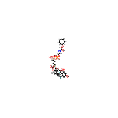 CCC(=O)O[C@]1(C(=O)SCCCCP(=O)(O)OP(=O)(O)OCCNC(=O)COC2/C=C\CCCCC2)[C@H](C)C[C@H]2[C@@H]3C[C@H](F)C4=CC(=O)C=C[C@]4(C)[C@@]3(F)[C@@H](O)C[C@@]21C